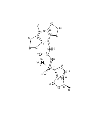 Cc1c2c(c(NC(=O)N=[S@](N)(=O)c3cnn4c3OC[C@@H]4C)c3c1CCC3)CCC2